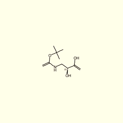 C=C(NC[C@H](O)C(=C)O)OC(C)(C)C